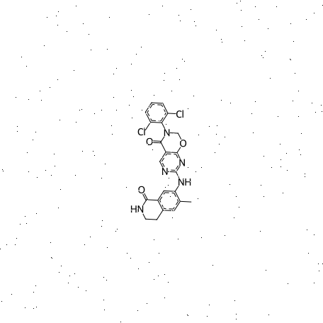 Cc1cc2c(cc1Nc1ncc3c(n1)OCN(c1c(Cl)cccc1Cl)C3=O)C(=O)NCC2